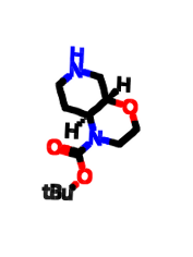 CC(C)(C)OC(=O)N1CCO[C@H]2CNCC[C@@H]21